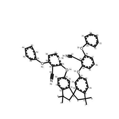 CC1(C)CC2(CC(C)(C)c3ccc(Oc4cccc(Oc5ccccc5)c4C#N)cc32)c2cc(Oc3cccc(Oc4ccccc4)c3C#N)ccc21